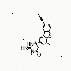 CC#Cc1ccc2sc3c(C)cc([C@]4(C)CC(=O)N(C)C(=N)N4)cc3c2c1